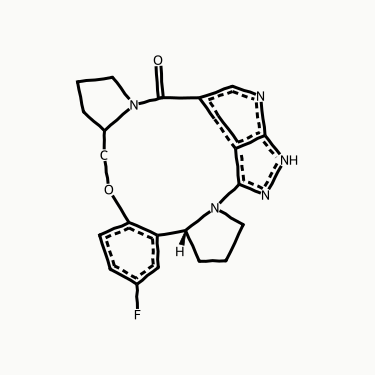 O=C1c2cnc3[nH]nc(c3c2)N2CCC[C@@H]2c2cc(F)ccc2OCC2CCCN12